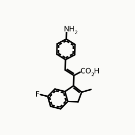 CC1=C(C(=Cc2ccc(N)cc2)C(=O)O)c2cc(F)ccc2C1